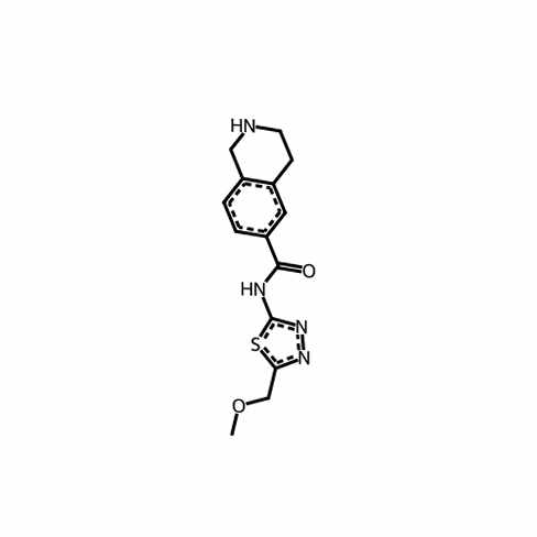 COCc1nnc(NC(=O)c2ccc3c(c2)CCNC3)s1